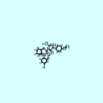 CCOc1ccc(C2NC(=O)N([C@H](C(=O)Nc3ccc(I)cc3F)[C@@H](C)c3ccccc3)C2=O)cc1